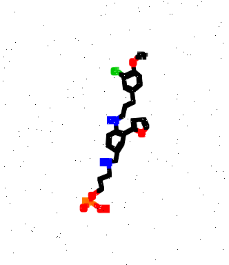 CC(C)Oc1ccc(CCCNc2ccc(CNCCCO[PH](=O)O)cc2-c2ccco2)cc1Cl